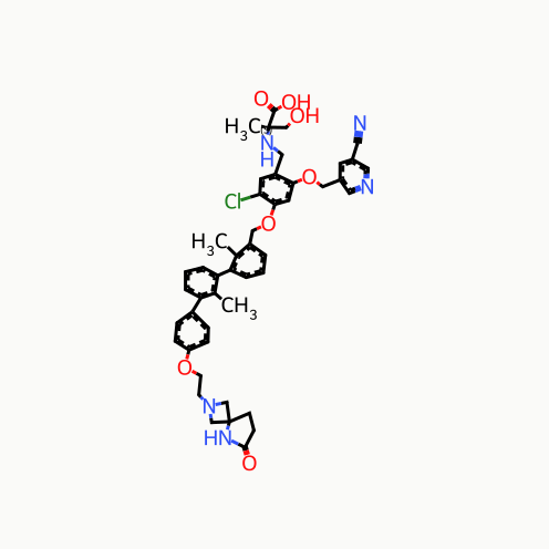 Cc1c(COc2cc(OCc3cncc(C#N)c3)c(CN[C@@](C)(CO)C(=O)O)cc2Cl)cccc1-c1cccc(-c2ccc(OCCN3CC4(CCC(=O)N4)C3)cc2)c1C